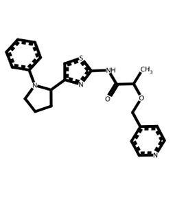 CC(OCc1ccncc1)C(=O)Nc1nc(C2CCCN2c2ccccc2)cs1